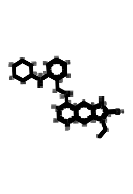 CCn1c(=O)[nH]c2cc3c(NCc4ccccc4NC4CCCCC4)ncnc3cc21